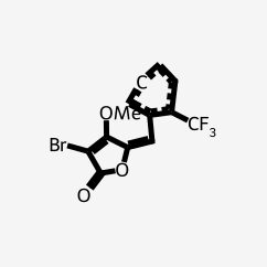 COC1=C(Br)C(=O)OC1=Cc1ccccc1C(F)(F)F